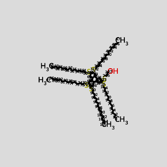 CCCCCCCCCCCCCCCCSc1cc2c(cc1SCCCO)c1cc(SCCCCCCCCCCCCCCCC)c(SCCCCCCCCCCCCCCCC)cc1c1cc(SCCCCCCCCCCCCCCCC)c(SCCCCCCCCCCCCCCCC)cc21